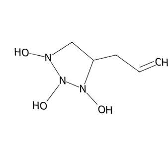 C=CCC1CN(O)N(O)N1O